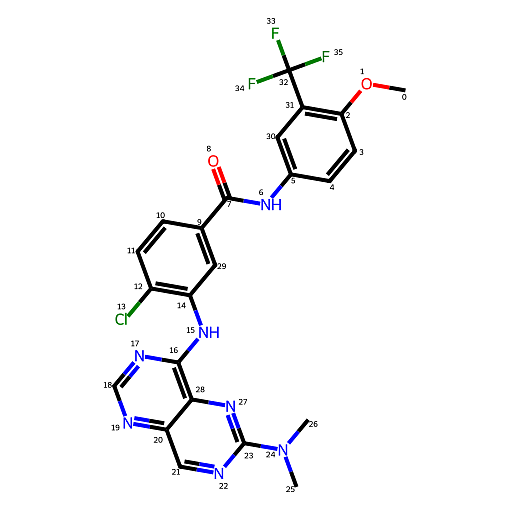 COc1ccc(NC(=O)c2ccc(Cl)c(Nc3ncnc4cnc(N(C)C)nc34)c2)cc1C(F)(F)F